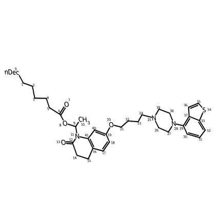 CCCCCCCCCCCCCCCC(=O)OC(C)N1C(=O)CCc2ccc(OCCCCN3CCN(c4cccc5sccc45)CC3)cc21